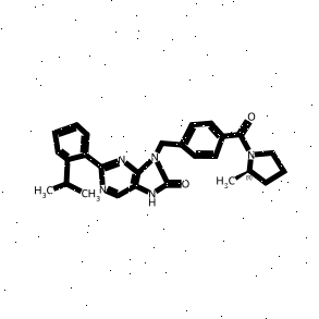 CC(C)c1ccccc1-c1ncc2[nH]c(=O)n(Cc3ccc(C(=O)N4CCC[C@H]4C)cc3)c2n1